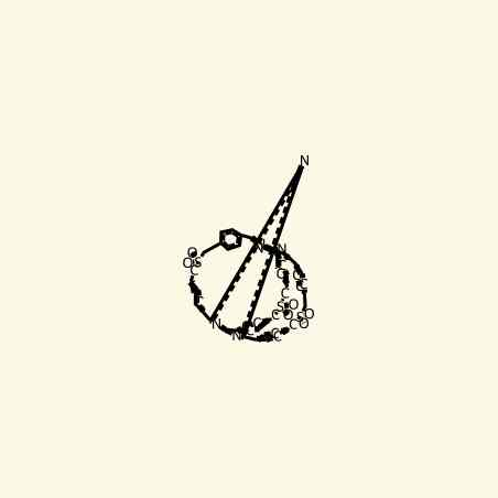 O=S1(=O)Cc2ccc(cc2)-c2nc3nc(n2)-c2ccc(cc2)CS(=O)(=O)Cc2ccc(cc2)-c2nc(nc(n2)-c2ccc(cc2)CS(=O)(=O)Cc2ccc-3cc2)-c2ccc(cc2)C1